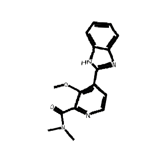 COc1c(-c2nc3ccccc3[nH]2)ccnc1C(=O)N(C)C